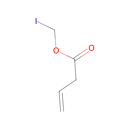 C=CCC(=O)OCI